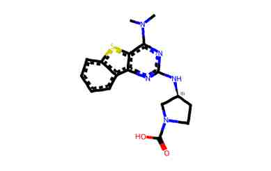 CN(C)c1nc(N[C@H]2CCN(C(=O)O)C2)nc2c1sc1ccccc12